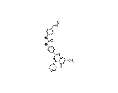 CC1=CNC2C(=C1)N=C(c1ccc(NC(=O)Nc3ccc(CN=O)cc3)cc1)N=C2N1CCOCC1